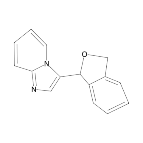 c1ccc2c(c1)COC2c1cnc2ccccn12